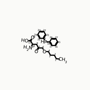 CCCCCOCC(=O)CC(N)C(=O)O.c1ccc(Pc2ccccc2)cc1